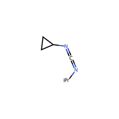 CC(C)N=C=NC1CC1